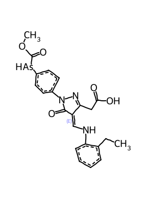 CCc1ccccc1N/C=C1/C(=O)N(c2ccc([AsH]C(=O)OC)cc2)N=C1CC(=O)O